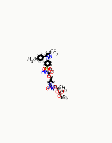 Cc1ccc(-c2cc(C(F)(F)F)nn2-c2ccc(S(=O)(=O)NC(=O)OCC3CN(/[N+]([O-])=N\OC(C)OC(=O)OC(C)(C)C)C3)cc2)cc1